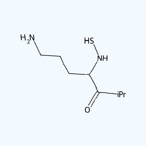 CC(C)C(=O)C(CCCN)NS